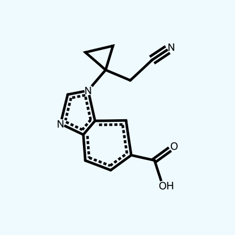 N#CCC1(n2cnc3ccc(C(=O)O)cc32)CC1